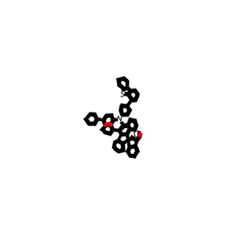 c1ccc(-c2ccc(N(c3ccc(-c4cccc5c4sc4ccccc45)cc3)c3c(-c4ccccc4)c4c(c5ccccc35)C3(c5ccccc5-c5ccccc53)c3ccccc3-4)cc2)cc1